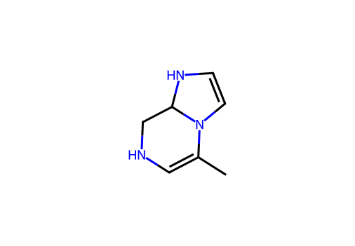 CC1=CNCC2NC=CN12